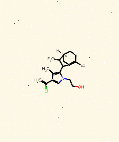 C=C(Cl)c1cn(CCO)c(C2C3=C(CC)CC[C@@H](C3)C2C(F)(F)F)c1C